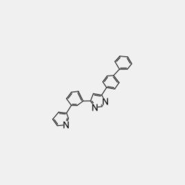 c1ccc(-c2ccc(-c3cc(-c4cccc(-c5cccnc5)c4)ncn3)cc2)cc1